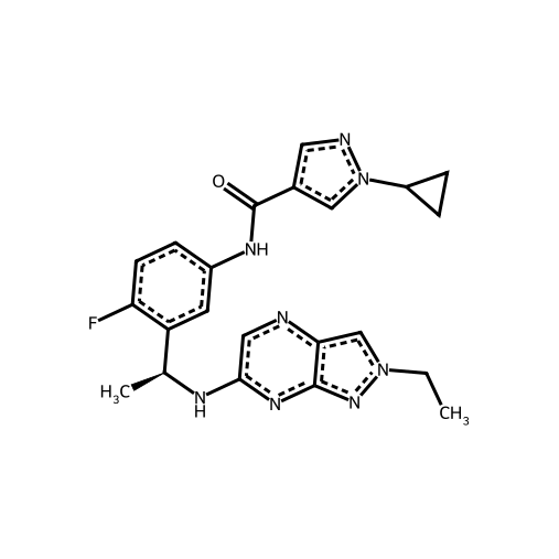 CCn1cc2ncc(N[C@@H](C)c3cc(NC(=O)c4cnn(C5CC5)c4)ccc3F)nc2n1